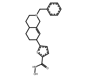 O=C(NO)c1ccc(C2C=C3CN(Cc4ccccc4)CCC3CC2)s1